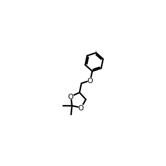 CC1(C)OCC(COc2cc[c]cc2)O1